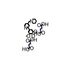 COc1cc(-c2cc(CN3CCCCC3)ccn2)cc(OC)c1OC.O=C(O)/C=C/C(=O)O.O=C(O)/C=C/C(=O)O